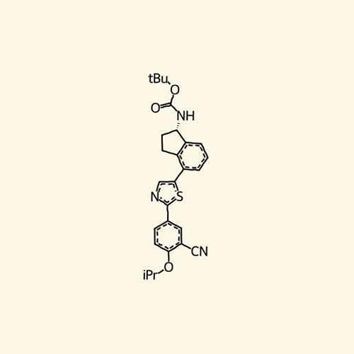 CC(C)Oc1ccc(-c2ncc(-c3cccc4c3CC[C@@H]4NC(=O)OC(C)(C)C)s2)cc1C#N